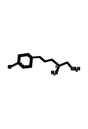 N[C@@H](CCCc1ccc(Cl)cc1)CC(=O)O